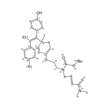 CC/C(=C(\c1ccc(O)cc1)C1(C)C=CC(OCCN(C/C=C/C(=O)N(C)C)C(=O)OC(C)(C)C)=CC1)c1ccc(CC)cc1